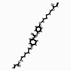 C=CC(=O)OCCCCCCOc1ccc(OC(=O)c2ccc(OCCCCCCOC(=O)C=C)cc2)cc1